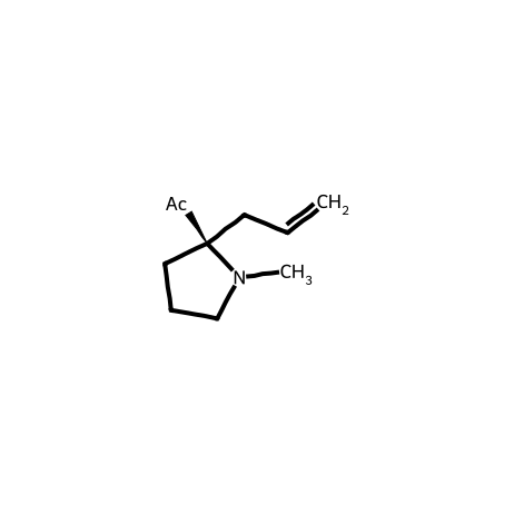 C=CC[C@@]1(C(C)=O)CCCN1C